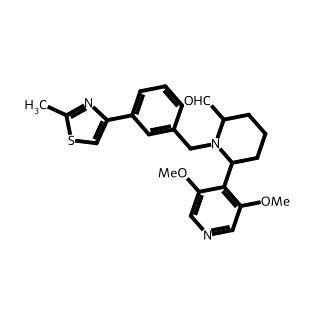 COc1cncc(OC)c1C1CCCC(C=O)N1Cc1cccc(-c2csc(C)n2)c1